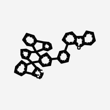 c1cc(-c2ccc3c(c2)C2(c4ccccc4-c4ccccc42)c2ccccc2C32c3ccccc3-c3ccccc32)cc(-c2cccc3c2oc2ccccc23)c1